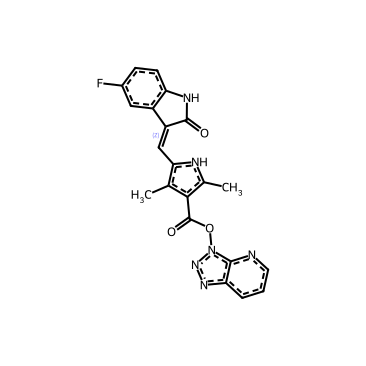 Cc1[nH]c(/C=C2\C(=O)Nc3ccc(F)cc32)c(C)c1C(=O)On1nnc2cccnc21